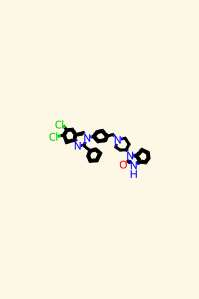 O=c1[nH]c2ccccc2n1C1CCN(Cc2ccc(N3C=c4cc(Cl)c(Cl)cc4=NC3c3ccccc3)cc2)CC1